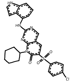 O=c1c(S(=O)(=O)c2ccc(Cl)cc2)cc2cnc(Nc3cccc4[nH]ccc34)nc2n1C1CCCCC1